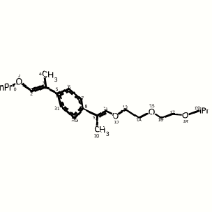 CCCOC=C(C)c1ccc(C(C)=COCCOCCOC(C)C)cc1